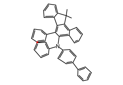 CC1(C)c2ccccc2-c2c(-c3ccccc3)c(N(c3ccccc3)c3ccc(-c4ccccc4)cc3)c3ccccc3c21